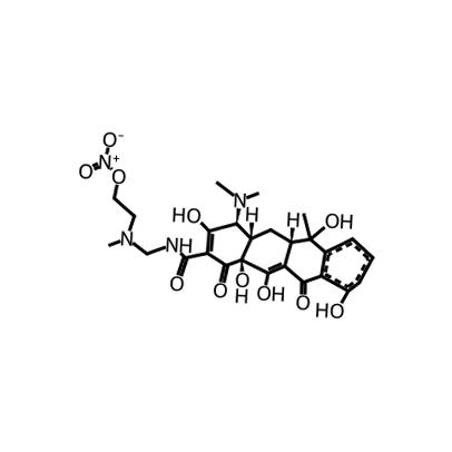 CN(CCO[N+](=O)[O-])CNC(=O)C1=C(O)[C@@H](N(C)C)[C@@H]2C[C@H]3C(=C(O)[C@]2(O)C1=O)C(=O)c1c(O)cccc1C3(C)O